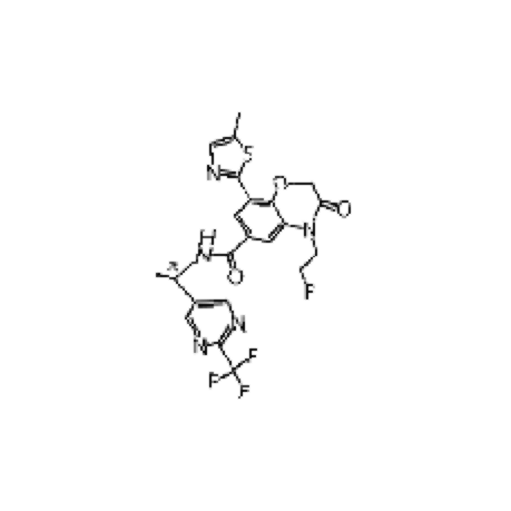 Cc1cnc(-c2cc(C(=O)N[C@H](C)c3cnc(C(F)(F)F)nc3)cc3c2OCC(=O)N3CCF)s1